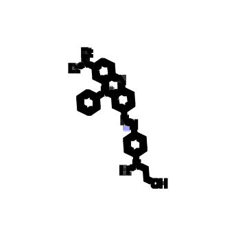 CCN(CC)c1ccc2nc3ccc(/N=N/c4ccc(N(CC)CCO)cc4)cc3[n+](-c3ccccc3)c2c1